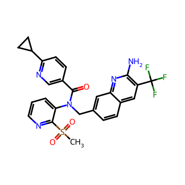 CS(=O)(=O)c1ncccc1N(Cc1ccc2cc(C(F)(F)F)c(N)nc2c1)C(=O)c1ccc(C2CC2)nc1